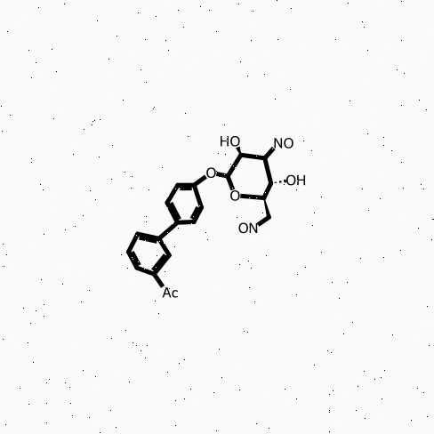 CC(=O)c1cccc(-c2ccc(OC3O[C@H](CN=O)[C@@H](O)C(N=O)[C@@H]3O)cc2)c1